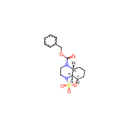 O=C(OCc1ccccc1)N1CCN2[C@H]3[C@H](CCC[C@H]31)OS2(=O)=O